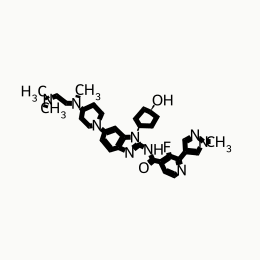 CN(C)CCN(C)C1CCN(c2ccc3nc(NC(=O)c4ccnc(-c5cnn(C)c5)c4F)n([C@H]4CC[C@@H](O)CC4)c3c2)CC1